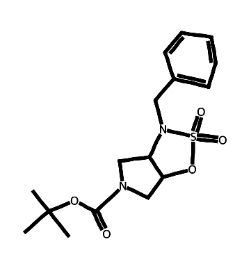 CC(C)(C)OC(=O)N1CC2OS(=O)(=O)N(Cc3ccccc3)C2C1